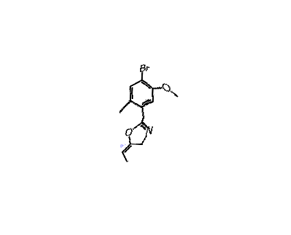 C/C=C1\CN=C(c2cc(OC)c(Br)cc2C)O1